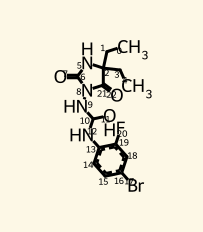 CCC1(CC)NC(=O)N(NC(O)Nc2ccc(Br)cc2F)C1=O